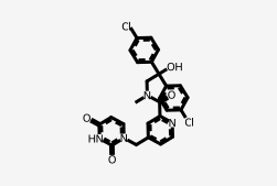 CN(CC(O)(c1ccc(Cl)cc1)c1ccc(Cl)cc1)C(=O)c1cc(Cn2ccc(=O)[nH]c2=O)ccn1